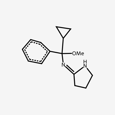 COC(/N=C1/CCCN1)(c1ccccc1)C1CC1